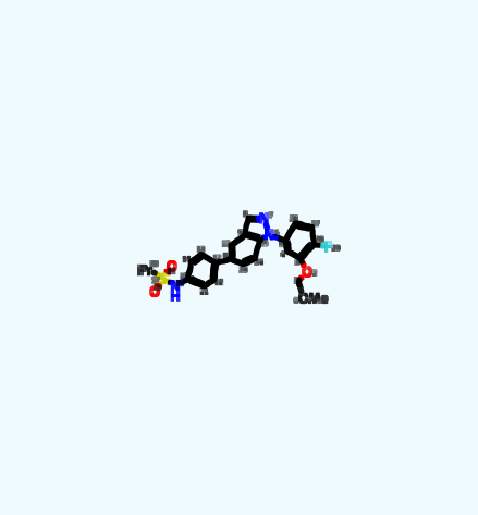 COCOc1cc(-n2ncc3cc(-c4ccc(NS(=O)(=O)C(C)C)cc4)ccc32)ccc1F